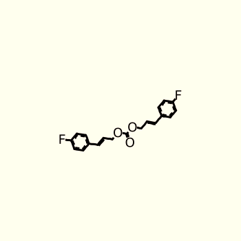 O=C(OCC=Cc1ccc(F)cc1)OCC=Cc1ccc(F)cc1